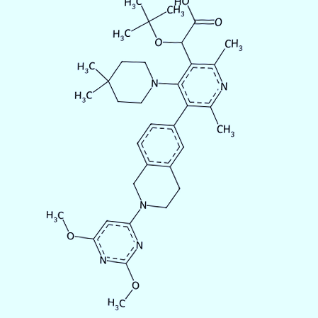 COc1cc(N2CCc3cc(-c4c(C)nc(C)c(C(OC(C)(C)C)C(=O)O)c4N4CCC(C)(C)CC4)ccc3C2)nc(OC)n1